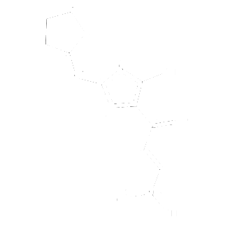 Cc1nc(NC2CCCC2)sc1C(=O)/C=C/N(C)C